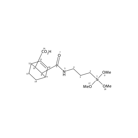 CO[Si](CCCNC(=O)C1C2C=CC(CC2)C1C(=O)O)(OC)OC